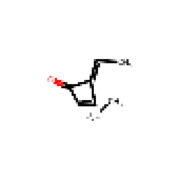 CC(=O)O.CC=C1C=CC1=O